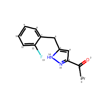 CC(C)C(=O)c1cc(Cc2ccccc2F)[nH]n1